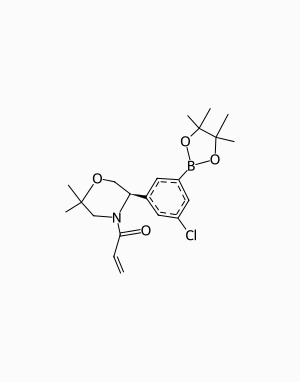 C=CC(=O)N1CC(C)(C)OC[C@H]1c1cc(Cl)cc(B2OC(C)(C)C(C)(C)O2)c1